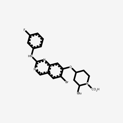 CC(C)(C)C1CC(Oc2cc3nc(Nc4cccc(F)c4)ncc3cc2Br)CCN1C(=O)O